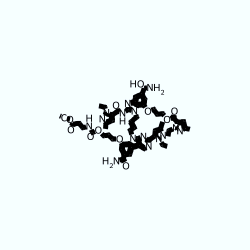 CCOC(=O)CCNC(=O)OCCCOc1cc(C(N)=O)cc2c3cnc(-c4cc(C)nn4CC)nc3n(C/C=C/Cn3c(NC(=O)c4cc(C)nn4CC)nc4cc(C(N)O)cc(OCCCOC(=O)c5cc(C)nn5CC)c43)c12